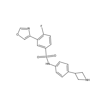 O=S(=O)(Nc1ccc(C2CNC2)cc1)c1ccc(F)c(-c2cocn2)c1